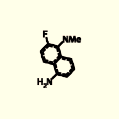 CNc1c(F)ccc2c(N)cccc12